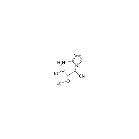 CCOC(OCC)C(C#N)n1ccnc1N